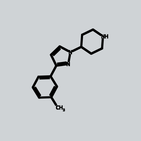 Cc1cccc(-c2ccn(C3CCNCC3)n2)c1